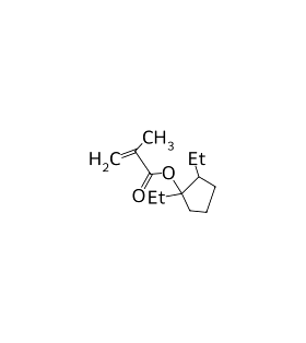 C=C(C)C(=O)OC1(CC)CCCC1CC